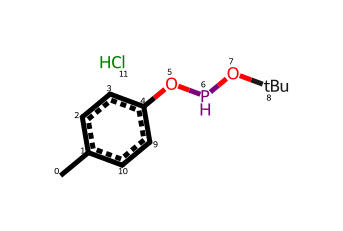 Cc1ccc(OPOC(C)(C)C)cc1.Cl